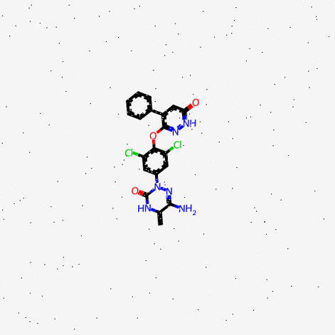 C=C1NC(=O)N(c2cc(Cl)c(Oc3n[nH]c(=O)cc3-c3ccccc3)c(Cl)c2)N=C1N